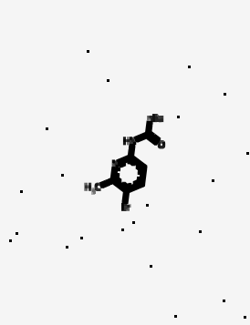 CCCCC(=O)Nc1ccc(Br)c(C)n1